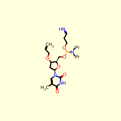 C=CCOC1C[C@H](n2cc(C)c(=O)[nH]c2=O)O[C@@H]1COP(OCCC=N)N(C(C)C)C(C)C